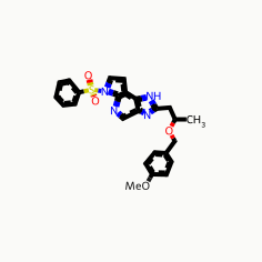 COc1ccc(COC(C)Cc2nc3cnc4c(ccn4S(=O)(=O)c4ccccc4)c3[nH]2)cc1